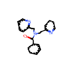 O=C(c1ccccc1)N(Cc1ccccn1)Cc1ccccn1